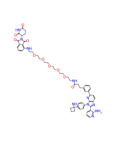 Nc1ncccc1-c1nc2ccc(-c3cccc(CCC(=O)NCCOCCOCCOCCOCCOCCNc4cccc5c4C(=O)N(C4CCC(=O)NC4=O)C5=O)c3)nc2n1-c1ccc(C2(N)CCC2)cc1